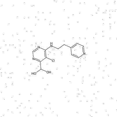 OC(O)c1ncnc(NCCc2ccncc2)c1Cl